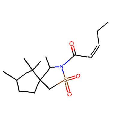 CC/C=C\C(=O)N1C(C)C2(CCC(C)C2(C)C)CS1(=O)=O